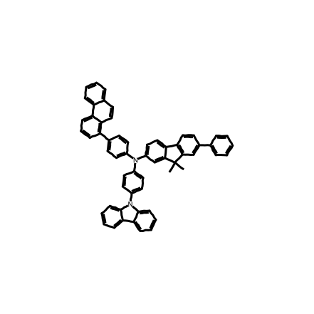 CC1(C)c2cc(-c3ccccc3)ccc2-c2ccc(N(c3ccc(-c4cccc5c4ccc4ccccc45)cc3)c3ccc(-n4c5ccccc5c5ccccc54)cc3)cc21